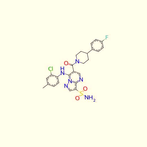 Cc1ccc(Nc2c(C(=O)N3CCC(c4ccc(F)cc4)CC3)cnc3c(S(N)(=O)=O)cnn23)c(Cl)c1